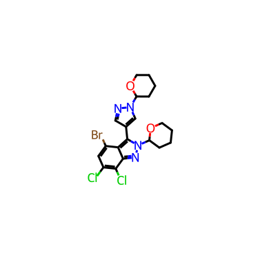 Clc1cc(Br)c2c(-c3cnn(C4CCCCO4)c3)n(C3CCCCO3)nc2c1Cl